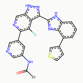 CCC(=O)Nc1cncc(-c2ncc3[nH]nc(-c4nc5c(-c6ccsc6)cccc5[nH]4)c3c2F)c1